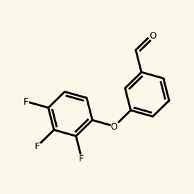 O=Cc1cccc(Oc2ccc(F)c(F)c2F)c1